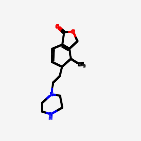 CC1C2=C(C=CC1CCN1CCNCC1)C(=O)OC2